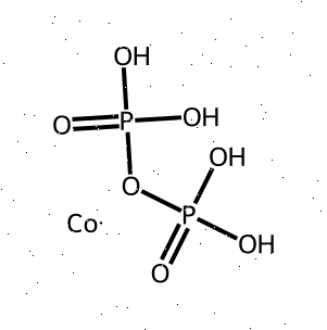 O=P(O)(O)OP(=O)(O)O.[Co]